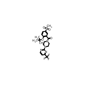 CC(C)(C)Oc1ccc(S(C)(=O)=O)cc1C(=O)N1CCN(c2nccc(C(F)(F)F)n2)CC1